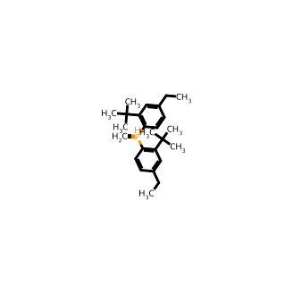 C=[PH](c1ccc(CC)cc1C(C)(C)C)c1ccc(CC)cc1C(C)(C)C